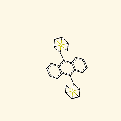 c1ccc2c(C3C4C5C6C7CS73645)c3ccccc3c(C3C4C5C6C7CS73645)c2c1